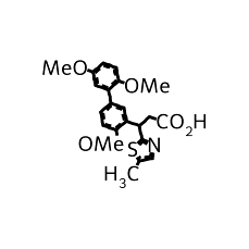 COc1ccc(OC)c(-c2ccc(OC)c(C(CC(=O)O)c3ncc(C)s3)c2)c1